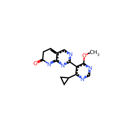 COc1ncnc(C2CC2)c1-c1ncc2c(n1)=NC(=O)CC=2